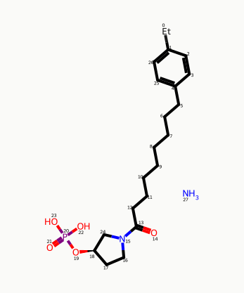 CCc1ccc(CCCCCCCCC(=O)N2CC[C@@H](OP(=O)(O)O)C2)cc1.N